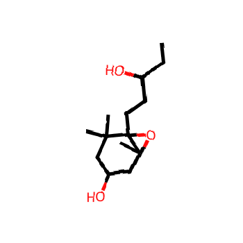 CCC(O)CCC12OC1(C)CC(O)CC2(C)C